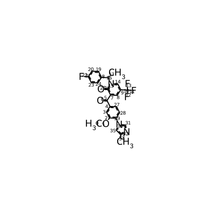 COc1cc(C(=O)c2cc(C(F)(F)F)cn(C(C)c3ccc(F)cc3)c2=O)ccc1-n1cnc(C)c1